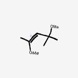 CO/C(C)=C\C(C)(C)OC